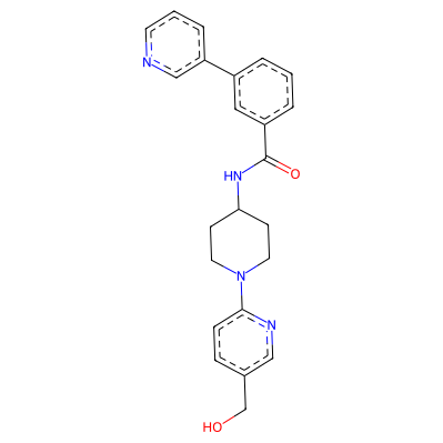 O=C(NC1CCN(c2ccc(CO)cn2)CC1)c1cccc(-c2cccnc2)c1